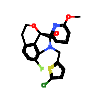 COc1cccc(C23OCCc4ccc(F)c(c42)N(Cc2ccc(Cl)s2)C3=O)n1